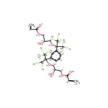 C=CC(=O)OCC(O)COC(c1cccc(C(OCC(O)COC(=O)C=C)(C(F)(F)F)C(F)(F)F)c1)(C(F)(F)F)C(F)(F)F